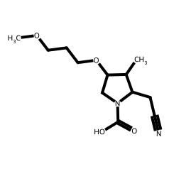 COCCCOC1CN(C(=O)O)C(CC#N)C1C